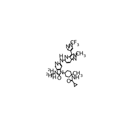 [2H]C([2H])([2H])n1c(=O)n(C2CCC(C)(NC(=O)C3CC3)CC2)c2cc(Nc3ccc4nn(C)c(-c5cnn(C(F)(F)F)c5)c4n3)ncc21